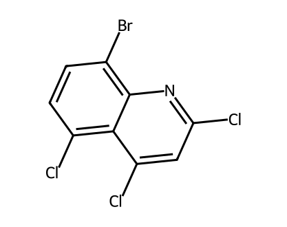 Clc1cc(Cl)c2c(Cl)ccc(Br)c2n1